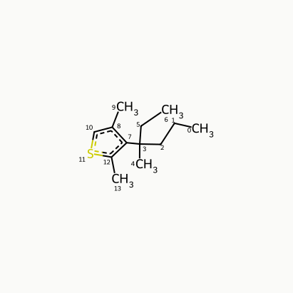 CCCC(C)(CC)c1c(C)csc1C